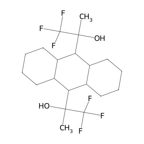 CC(O)(C1C2CCCCC2C(C(C)(O)C(F)(F)F)C2CCCCC21)C(F)(F)F